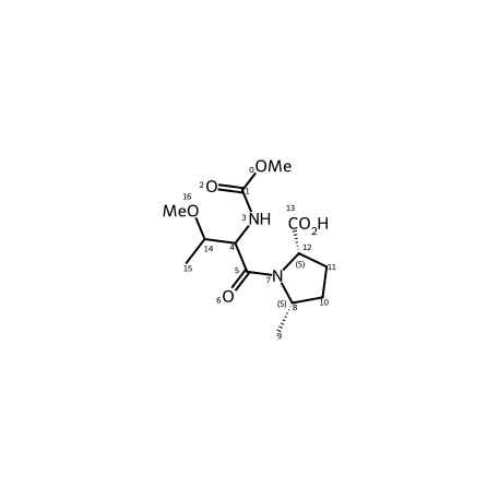 COC(=O)NC(C(=O)N1[C@@H](C)CC[C@H]1C(=O)O)C(C)OC